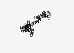 CCCN(CCO)C(=O)C1=Cc2ccc(C3(C(=O)Nc4cnc5c(c4)CN(CCCOCCOCCOCN[C@@H](O)CN[C@@H](O)[C@H](Cc4ccccc4)N[C@@H](O)CN[C@@H](O)CN[C@@H](O)CCCCCN4C(=O)C=CC4=O)CC5)CC3)cc2N=C(N)C1